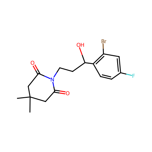 CC1(C)CC(=O)N(CCC(O)c2ccc(F)cc2Br)C(=O)C1